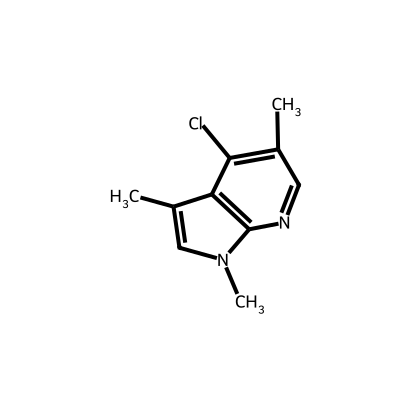 Cc1cnc2c(c(C)cn2C)c1Cl